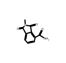 CN1C(=O)c2cc[c]c(C(N)=O)c2C1=O